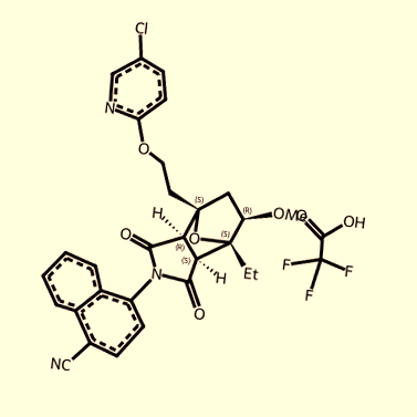 CC[C@@]12O[C@@](CCOc3ccc(Cl)cn3)(C[C@H]1OC)[C@@H]1C(=O)N(c3ccc(C#N)c4ccccc34)C(=O)[C@@H]12.O=C(O)C(F)(F)F